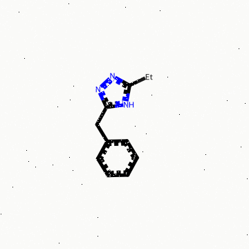 [CH2]Cc1nnc(Cc2ccccc2)[nH]1